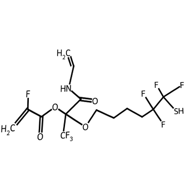 C=CNC(=O)C(OCCCCC(F)(F)C(F)(F)S)(OC(=O)C(=C)F)C(F)(F)F